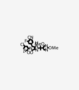 COc1ncc(C(C)(C)c2nc3c([nH]2)C(c2ccc(C#N)c(F)c2)N(c2cc(Cl)cn(C)c2=O)C3=O)c(OC)n1